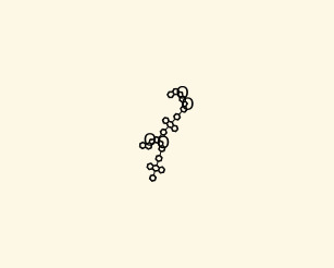 c1ccc(-c2c3ccccc3c(-c3ccc(-c4ccc5oc6c(-c7ccc(-c8c9ccccc9c(-c9ccc(-c%10ccc%11oc%12cc%13oc%14ccc%15ccccc%15c%14c%13cc%12c%11c%10)cc9)c9ccccc89)cc7)cc7oc8c9ccccc9ccc8c7c6c5c4)cc3)c3ccccc23)cc1